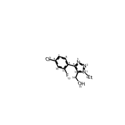 CCn1nnc(-c2ccc(Cl)cc2F)c1CO